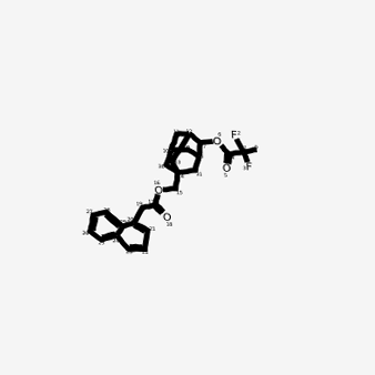 CC(F)(F)C(=O)OC1C2CC3CC1CC(COC(=O)Cc1cccc4ccccc14)(C3)C2